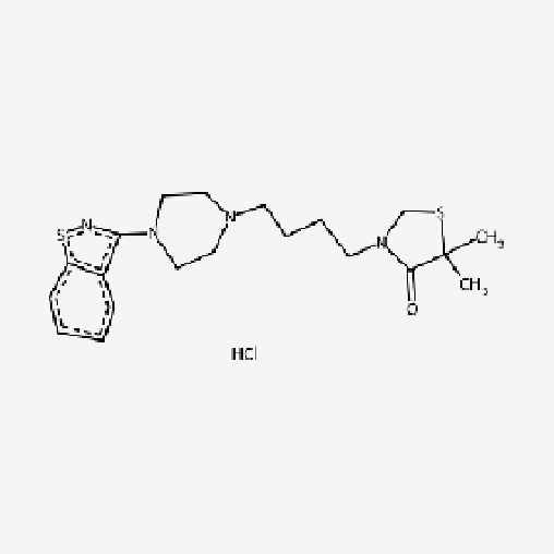 CC1(C)SCN(CCCCN2CCN(c3nsc4ccccc34)CC2)C1=O.Cl